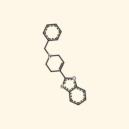 C1=C(c2nc3ccccc3o2)CCN(Cc2ccccc2)C1